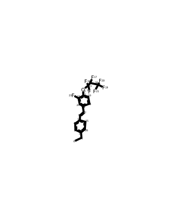 CCc1ccc(/C=C/c2ccc(OC(F)(F)C(F)C(F)(F)F)c(F)c2)cc1